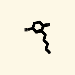 CCCCCC1=CC(Br)CCC1=O